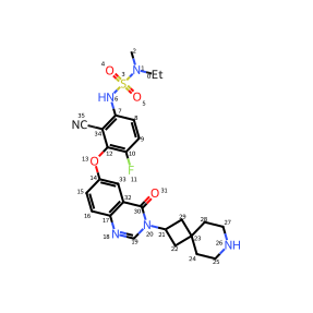 CCN(C)S(=O)(=O)Nc1ccc(F)c(Oc2ccc3ncn(C4CC5(CCNCC5)C4)c(=O)c3c2)c1C#N